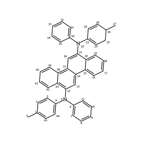 Cc1ccc(N(c2ccccc2)c2cc3c4ccccc4c(N(C4=CCC(C)C=C4)c4ccccc4)cc3c3ccccc23)cc1